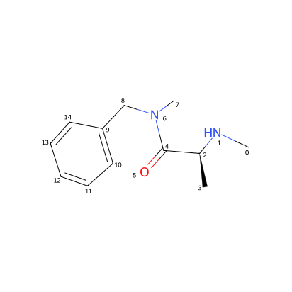 CN[C@@H](C)C(=O)N(C)Cc1ccccc1